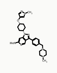 CNc1cc2c(cn1)c(-c1ccc(CN3CCN(C)CC3)cc1)nn2[C@H]1CC[C@@H](Oc2cnn(C)c2)CC1